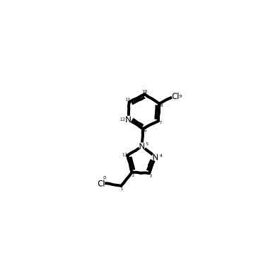 ClCc1cnn(-c2cc(Cl)ccn2)c1